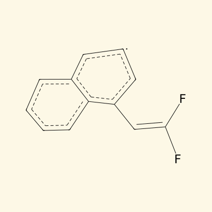 FC(F)=Cc1c[c]cc2ccccc12